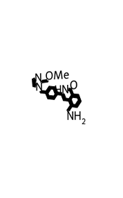 COCc1nccn1Cc1ccc(-c2cc3c(CN)cccc3c(=O)[nH]2)cc1